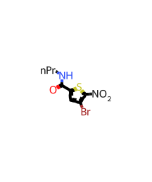 CCCNC(=O)c1cc(Br)c([N+](=O)[O-])s1